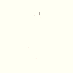 C=CCOC(C)=O.O=C=O